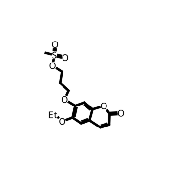 CCOc1cc2ccc(=O)oc2cc1OCCCOS(C)(=O)=O